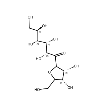 O=C(C1O[C](CO)[C@@H](O)[C@H]1O)[C@H](O)[C@@H](O)[C@H](O)[C@H](O)CO